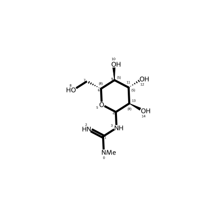 CNC(=N)NC1O[C@H](CO)[C@@H](O)[C@H](O)[C@H]1O